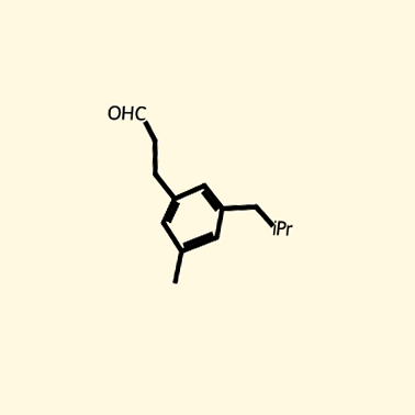 Cc1cc(CCC=O)cc(CC(C)C)c1